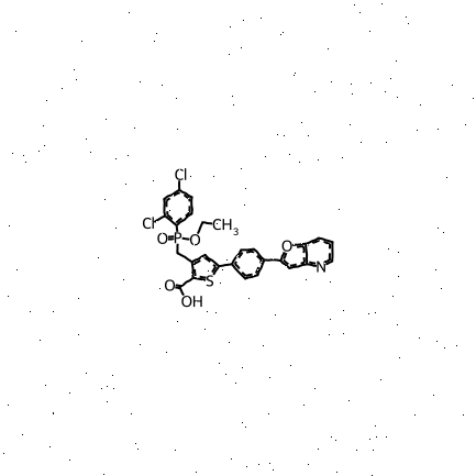 CCOP(=O)(Cc1cc(-c2ccc(-c3cc4ncccc4o3)cc2)sc1C(=O)O)c1ccc(Cl)cc1Cl